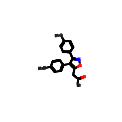 COc1ccc(-c2noc(CC(=O)C(C)C)c2-c2ccc(OC)cc2)cc1